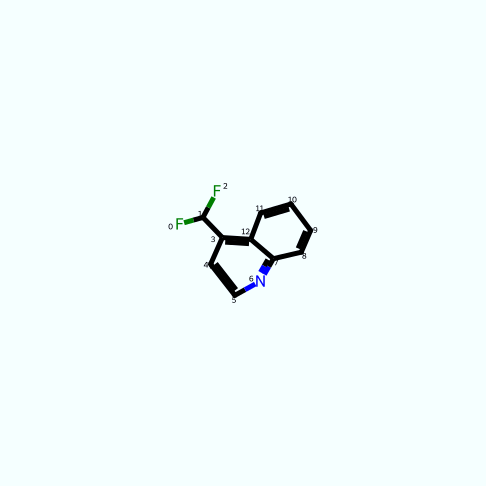 FC(F)c1[c]cnc2ccccc12